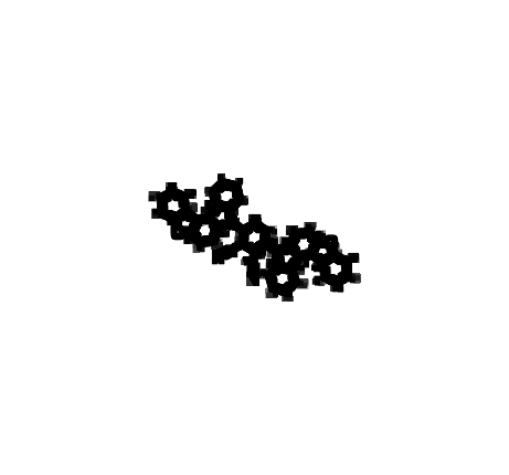 N#Cc1c(-n2c3ccccc3c3c4c(ccc32)oc2ccccc24)ccc(-n2c3ccccc3c3c4c(ccc32)oc2ccccc24)c1C#N